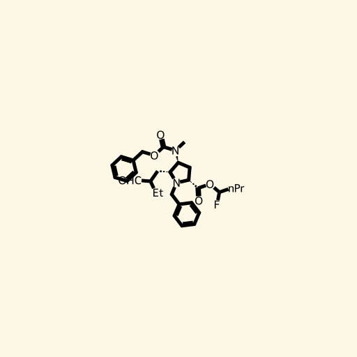 CCCC(F)OC(=O)[C@H]1C[C@@H](N(C)C(=O)OCc2ccccc2)[C@@H](CC(C=O)CC)N1Cc1ccccc1